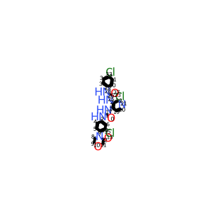 O=C(Nc1ccc(N2CCOCC2=O)c(Cl)c1)Nc1ccnc(Cl)c1NC(=O)Nc1ccc(Cl)cc1